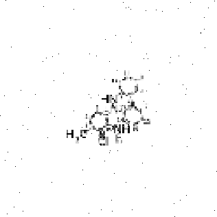 Cc1ccc(N(Nc2ccccc2)c2ccccc2)c(NF)c1Cl